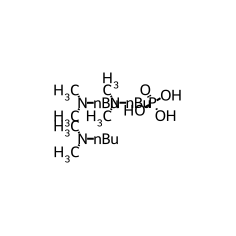 CCCCN(C)C.CCCCN(C)C.CCCCN(C)C.O=P(O)(O)O